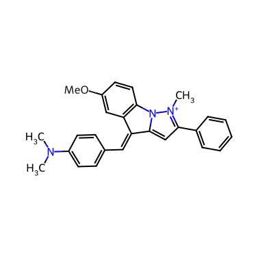 COc1ccc2c(c1)/c(=C\c1ccc(N(C)C)cc1)c1cc(-c3ccccc3)[n+](C)n12